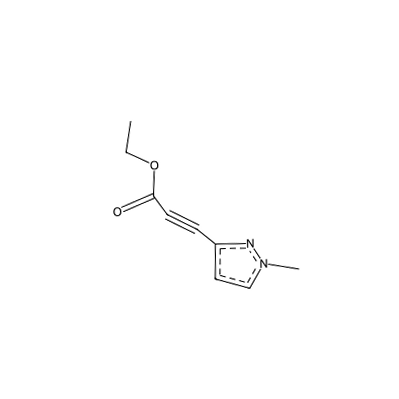 CCOC(=O)C#Cc1ccn(C)n1